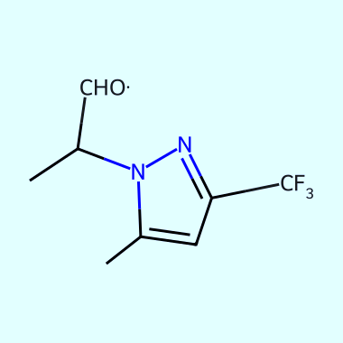 Cc1cc(C(F)(F)F)nn1C(C)[C]=O